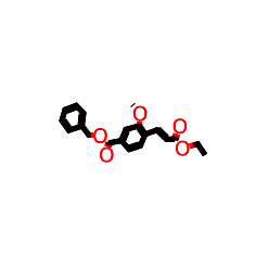 CCOC(=O)/C=C/c1ccc(C(=O)OCc2ccccc2)cc1OC